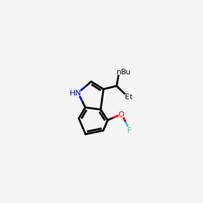 CCCCC(CC)c1c[nH]c2cccc(OF)c12